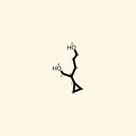 OCCCC(CO)C1CC1